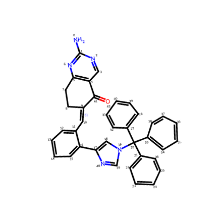 Nc1ncc2c(n1)CC/C(=C\c1ccccc1-c1cn(C(c3ccccc3)(c3ccccc3)c3ccccc3)cn1)C2=O